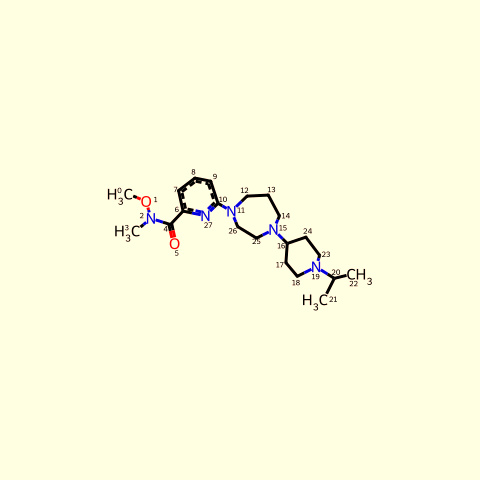 CON(C)C(=O)c1cccc(N2CCCN(C3CCN(C(C)C)CC3)CC2)n1